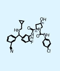 N#Cc1cccc(C(NCC2CC2)c2ccc(F)c(NC(=O)[C@H]3C[C@@H](O)CN3C(=O)Nc3ccc(Cl)cc3)c2)c1